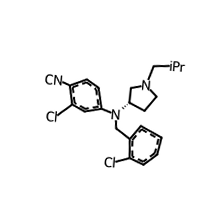 [C-]#[N+]c1ccc(N(Cc2ccccc2Cl)[C@H]2CCN(CC(C)C)C2)cc1Cl